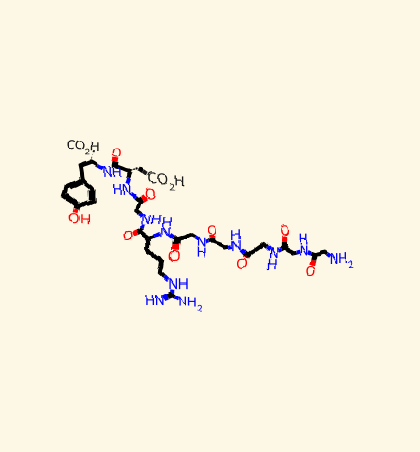 N=C(N)NCCCC(NC(=O)CNC(=O)CNC(=O)CNC(=O)CNC(=O)CN)C(=O)NCC(=O)N[C@@H](CC(=O)O)C(=O)N[C@H](Cc1ccc(O)cc1)C(=O)O